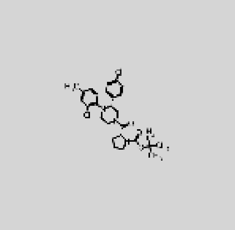 Cc1ccc(N2CCN(C(=O)[C@H]3CCCN3C(=O)OC(C)(C)C)C[C@H]2c2ccc(Cl)cc2)c(Cl)c1